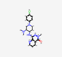 CN(C)[C@H]1CN(c2ccc(Cl)cc2)CC[C@H]1Nc1nn(C)c(=O)c2cccnc12